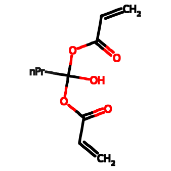 C=CC(=O)OC(O)(CCC)OC(=O)C=C